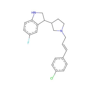 Fc1ccc2c(c1)C(C1CCN(CC=Cc3ccc(Cl)cc3)C1)CN2